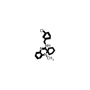 CN1c2ccccc2N=C(NCc2cccc(Cl)c2)C12CCCCC2